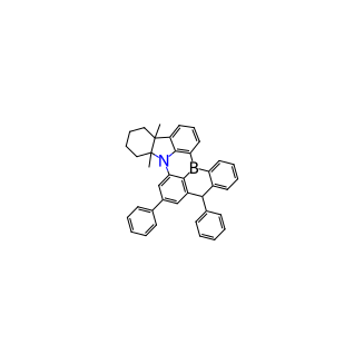 CC12CCCCC1(C)N1c3cc(-c4ccccc4)cc4c3B(c3ccccc3C4c3ccccc3)c3cccc2c31